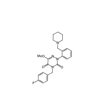 COc1nn(-c2ccccc2CN2CCCCC2)c(=O)n(Cc2ccc(F)cc2)c1=O